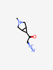 CN1CC2C(C1)C2C(=O)C=[N+]=[N-]